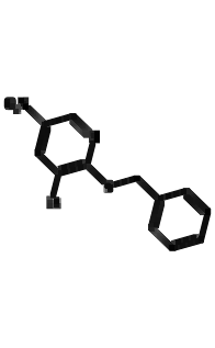 CCc1cc([N+](=O)[O-])cnc1SCc1ccccc1